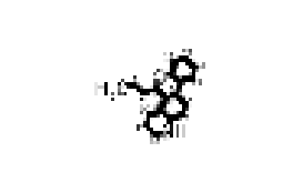 C=CCC1=c2c(ccc3c2=CCCN3)-c2ccccc2O1